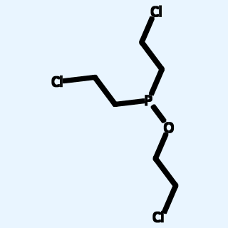 ClCCOP(CCCl)CCCl